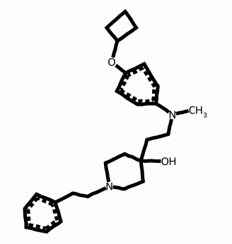 CN(CCC1(O)CCN(CCc2ccccc2)CC1)c1ccc(OC2CCC2)cc1